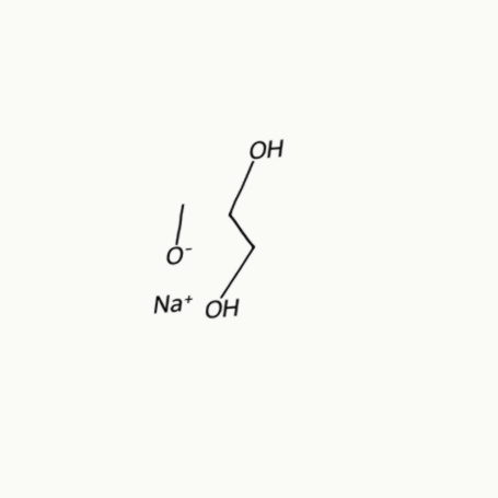 C[O-].OCCO.[Na+]